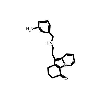 Nc1cccc(CNCCc2c3c(n4ccccc24)C(=O)CCC3)c1